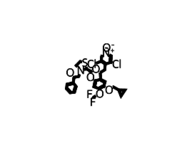 O=C(CN1CCSC1C(=O)OC(Cc1c(Cl)c[n+]([O-])cc1Cl)c1ccc(OC(F)F)c(OCC2CC2)c1)c1ccccc1